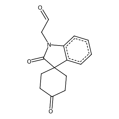 O=CCN1C(=O)C2(CCC(=O)CC2)c2ccccc21